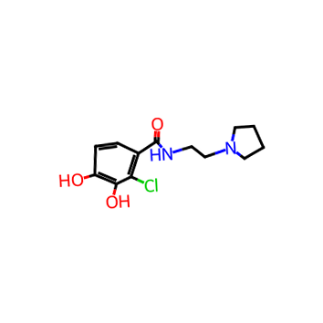 O=C(NCCN1CCCC1)c1ccc(O)c(O)c1Cl